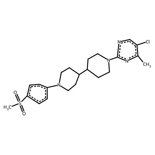 Cc1nc(N2CCC(C3CCN(c4ccc(S(C)(=O)=O)cc4)CC3)CC2)ncc1Cl